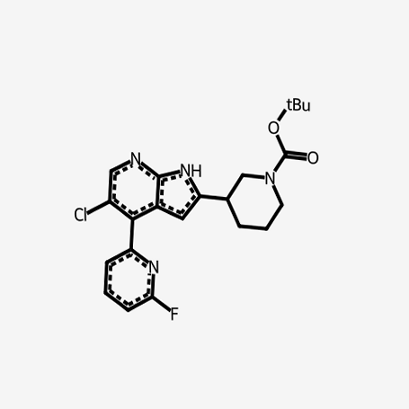 CC(C)(C)OC(=O)N1CCCC(c2cc3c(-c4cccc(F)n4)c(Cl)cnc3[nH]2)C1